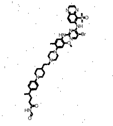 COc1cc(N2CCN(CCC3CCN(c4ccc(C(C)CCC(=O)NC=O)cc4)CC3)CC2)c(C)cc1Nc1ncc(Br)c(Nc2ccc3nccnc3c2P(C)(C)=O)n1